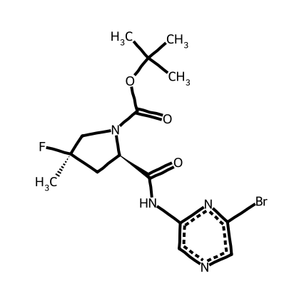 CC(C)(C)OC(=O)N1C[C@](C)(F)C[C@@H]1C(=O)Nc1cncc(Br)n1